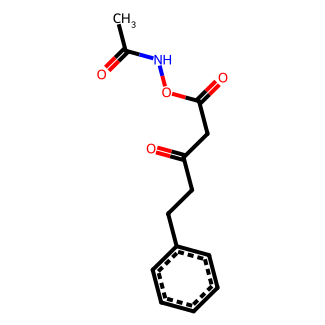 CC(=O)NOC(=O)CC(=O)CCc1ccccc1